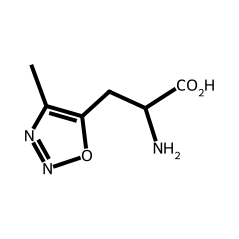 Cc1nnoc1CC(N)C(=O)O